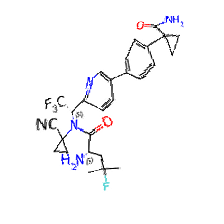 CC(C)(F)C[C@H](N)C(=O)N([C@@H](c1ccc(-c2ccc(C3(C(N)=O)CC3)cc2)cn1)C(F)(F)F)C1(C#N)CC1